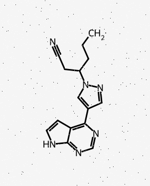 [CH2]CCC(CC#N)n1cc(-c2ncnc3[nH]ccc23)cn1